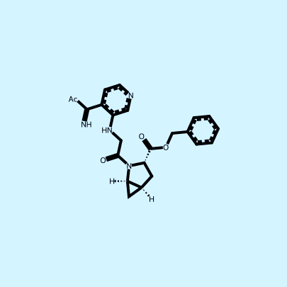 CC(=O)C(=N)c1ccncc1NCC(=O)N1[C@@H]2C[C@@H]2C[C@H]1C(=O)OCc1ccccc1